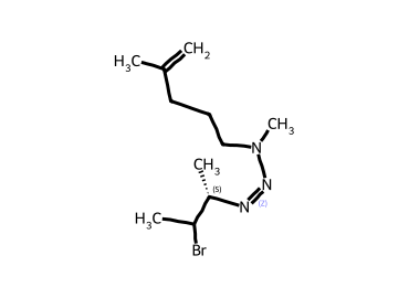 C=C(C)CCCN(C)/N=N\[C@@H](C)C(C)Br